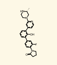 C[C@@H]1CN(c2cc(-c3cccc(-c4ccc(N5CCCC5=O)c(F)c4)c3O)ccn2)CCN1